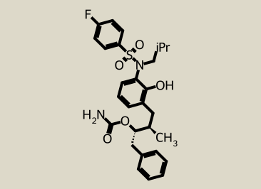 CC(C)CN(c1cccc(C[C@@H](C)[C@H](Cc2ccccc2)OC(N)=O)c1O)S(=O)(=O)c1ccc(F)cc1